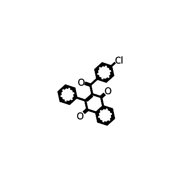 O=C(C1=C(c2ccccc2)C(=O)c2ccccc2C1=O)c1ccc(Cl)cc1